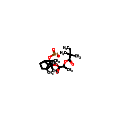 CCC(C)(C)C(=O)OC(C)C(=O)OC1(C)C2(C)CCC(C2C)C1(C)O[SH](=O)=O